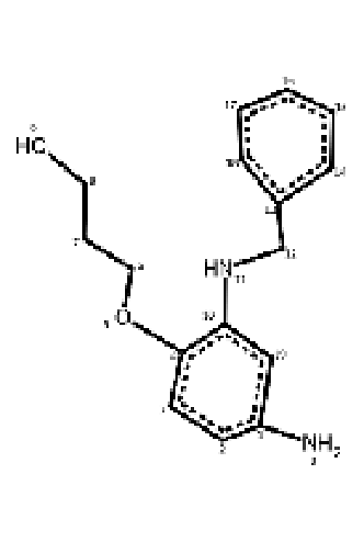 Nc1ccc(OCCCO)c(NCc2ccccc2)c1